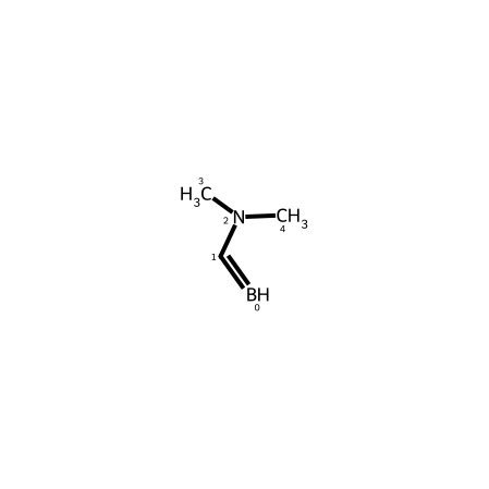 B=CN(C)C